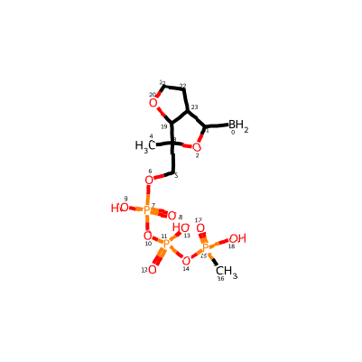 BC1OC(C)(COP(=O)(O)OP(=O)(O)OP(C)(=O)O)C2OCCC12